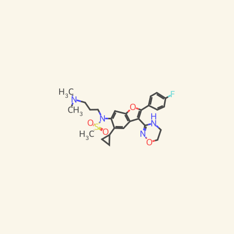 CN(C)CCCN(c1cc2oc(-c3ccc(F)cc3)c(C3=NOCCN3)c2cc1C1CC1)S(C)(=O)=O